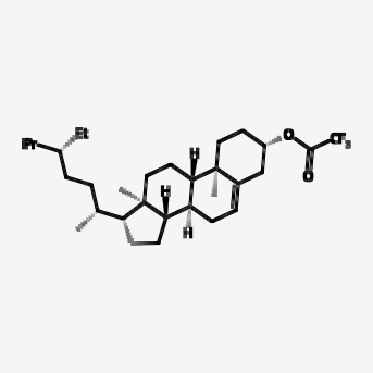 CC[C@H](CC[C@@H](C)[C@H]1CC[C@H]2[C@@H]3CC=C4C[C@@H](OC(=O)C(F)(F)F)CC[C@]4(C)[C@H]3CC[C@]12C)C(C)C